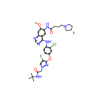 COc1cc2ncnc(Nc3ccc(Oc4nn(CC(=O)NC(C)(C)C)cc4F)cc3Cl)c2cc1NC(=O)CCCN1CC[C@H](F)C1